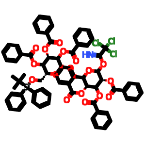 CC(C)(C)[Si](OC[C@H]1O[C@@H](OCC2OC(OC(=N)C(Cl)(Cl)Cl)[C@H](OC(=O)c3ccccc3)C(OC(=O)c3ccccc3)[C@@H]2OC(=O)c2ccccc2)C(OC(=O)c2ccccc2)[C@@H](OC(=O)c2ccccc2)C1OC(=O)c1ccccc1)(c1ccccc1)c1ccccc1